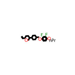 C=CC1CCC(C2CCC(COc3ccc(OCCC)c(F)c3F)CC2)CO1